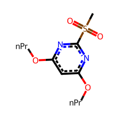 CCCOc1cc(OCCC)nc(S(C)(=O)=O)n1